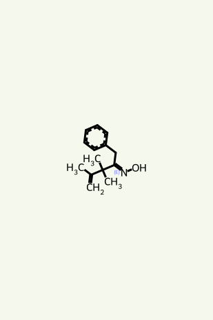 C=C(C)C(C)(C)/C(Cc1ccccc1)=N/O